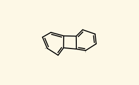 [c]1ccc2c(c1)-c1[c]cccc1-2